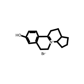 Oc1ccc2c(c1)CC[N+]1=C2CCC2CCCC21.[Br-]